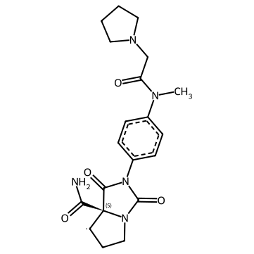 CN(C(=O)CN1CCCC1)c1ccc(N2C(=O)N3CC[CH][C@]3(C(N)=O)C2=O)cc1